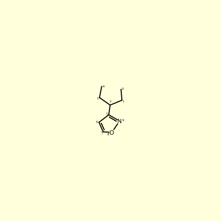 CCC(CC)c1c[c]on1